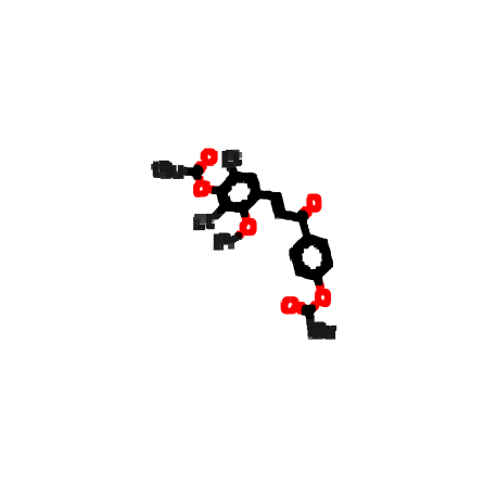 CCc1cc(C=CC(=O)c2ccc(OC(=O)C(C)(C)C)cc2)c(OC(C)C)c(CC)c1OC(=O)C(C)(C)C